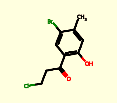 Cc1cc(O)c(C(=O)CCCl)cc1Br